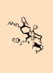 COC1=C(Cl)CC2C(=C1)C(CC(=O)O)=C(C)N2C(=O)c1ccc(SC(F)(F)C(F)F)s1